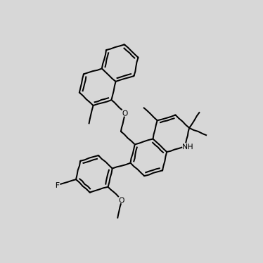 COc1cc(F)ccc1-c1ccc2c(c1COc1c(C)ccc3ccccc13)C(C)=CC(C)(C)N2